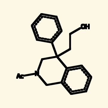 CC(=O)N1Cc2ccccc2C(CCO)(c2ccccc2)C1